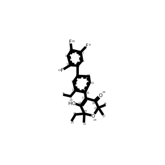 CCc1cc(-c2cc(F)c(F)cc2F)ccc1C1=C(O)C(C)(CC)OC(C)(C)C1=O